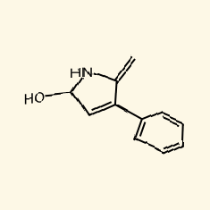 C=C1NC(O)C=C1c1ccccc1